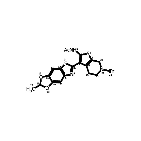 CC(=O)Nc1sc2c(c1-c1nc3cc4c(cc3s1)OC(C)O4)CCN(C(C)C)C2